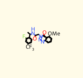 COc1cccc2nnn(CC(=O)NC(C)c3ccc(C(F)(F)F)cc3F)c(=O)c12